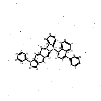 c1ccc(-c2cnc(-n3c4ccccc4c4cc5cc6c(ccn6-c6ccccc6)cc5cc43)c3ccccc23)cc1